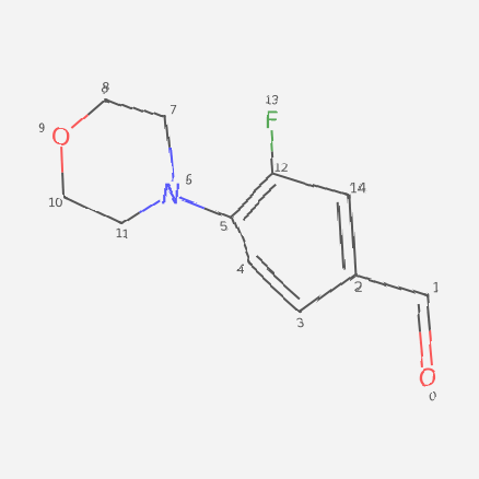 O=Cc1ccc(N2CCOCC2)c(F)c1